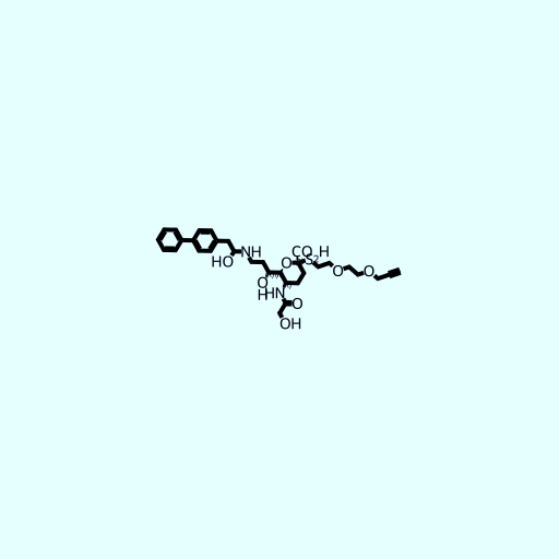 C#CCOCCOCCS[C@@]1(C(=O)O)CC[C@@H](NC(=O)CO)[C@H]([C@H](O)CCNC(O)Cc2ccc(-c3ccccc3)cc2)O1